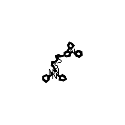 C1=CCCC(c2nc(C3=CCCC=C3)nc(-c3ccc(-c4ccc(C5C=C6C(=CC5)N(c5ccccc5)C5C=CC=CC65)s4)s3)n2)=C1